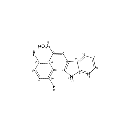 O=C(O)C(=Cc1c[nH]c2ncccc12)c1cc(F)ccc1F